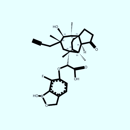 C#CC[C@@]1(C)C[C@@H](C(Oc2ccc3c(c2F)B(O)OC3)C(=O)O)[C@@]2(C)[C@H](C)CC[C@]3(CCC(=O)[C@H]32)[C@@H](C)[C@@H]1O